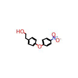 O=[N+]([O-])c1ccc(Oc2ccc(CCO)cc2)cc1